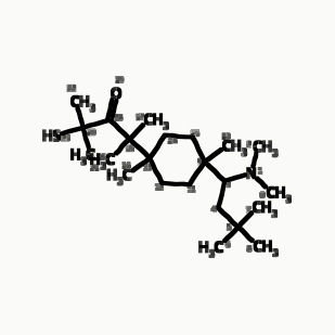 CN(C)C(CC(C)(C)C)C1(C)CCC(C)(C(C)(C)C(=O)C(C)(C)S)CC1